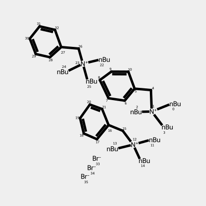 CCCC[N+](CCCC)(CCCC)Cc1ccccc1.CCCC[N+](CCCC)(CCCC)Cc1ccccc1.CCCC[N+](CCCC)(CCCC)Cc1ccccc1.[Br-].[Br-].[Br-]